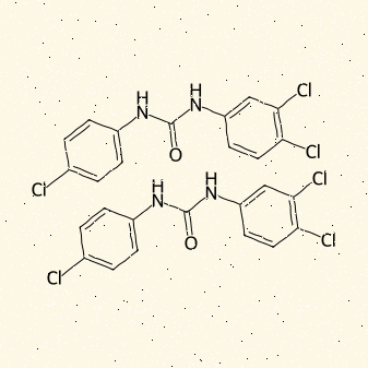 O=C(Nc1ccc(Cl)cc1)Nc1ccc(Cl)c(Cl)c1.O=C(Nc1ccc(Cl)cc1)Nc1ccc(Cl)c(Cl)c1